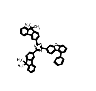 CC1(C)c2ccccc2-c2cc(-c3nc(-c4ccc5c(c4)-c4ccccc4C5(C)C)nc(-c4ccc5c(c4)oc4cccc(-c6ccccc6)c45)n3)ccc21